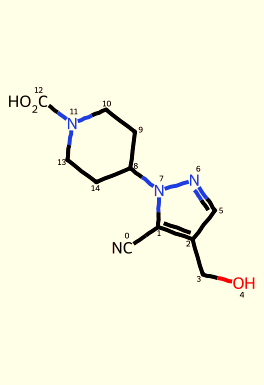 N#Cc1c(CO)cnn1C1CCN(C(=O)O)CC1